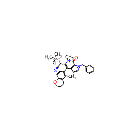 Cc1c(-c2c(C(C#N)O[Si](C)(C)C)n(C)c(=O)c3c2ccn3Cc2ccccc2)ccc2c1CCCO2